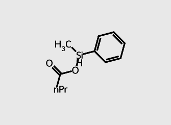 [CH2]CCC(=O)O[SiH](C)c1ccccc1